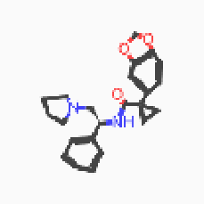 O=C(N[C@H](CN1CCCC1)c1ccccc1)C1(c2ccc3c(c2)OCO3)CC1